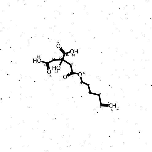 C=CCCCCOC(=O)CC(O)(CC(=O)O)C(=O)O